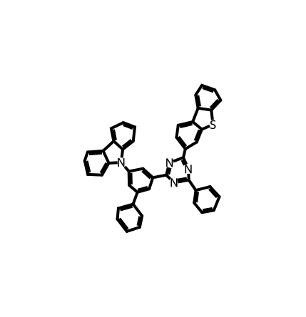 c1ccc(-c2cc(-c3nc(-c4ccccc4)nc(-c4ccc5c(c4)sc4ccccc45)n3)cc(-n3c4ccccc4c4ccccc43)c2)cc1